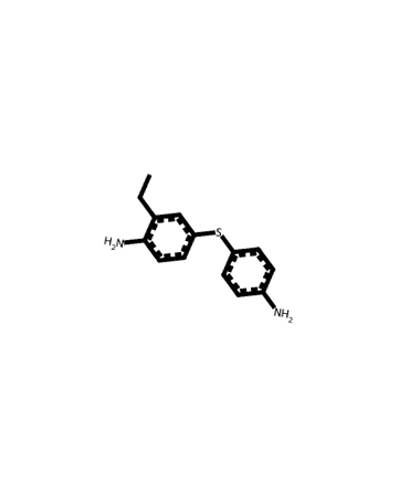 CCc1cc(Sc2ccc(N)cc2)ccc1N